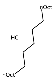 CCCCCCCCCCCCCCCCCCCCC.Cl